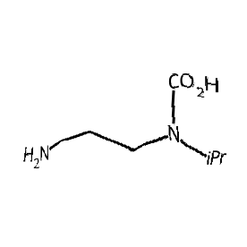 CC(C)N(CCN)C(=O)O